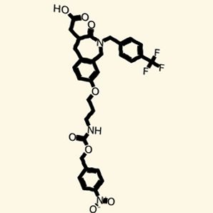 O=C(O)CC1Cc2ccc(OCCCNC(=O)OCc3ccc([N+](=O)[O-])cc3)cc2CN(Cc2ccc(C(F)(F)F)cc2)C1=O